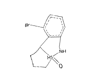 O=[SH]12CCCC1c1c(Br)cccc1N2